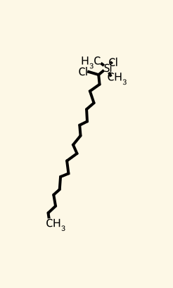 CCCCCCCCCCCCCCCCCC(Cl)[Si](C)(C)Cl